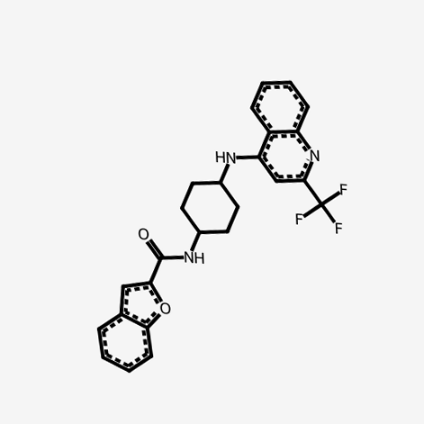 O=C(NC1CCC(Nc2cc(C(F)(F)F)nc3ccccc23)CC1)c1cc2ccccc2o1